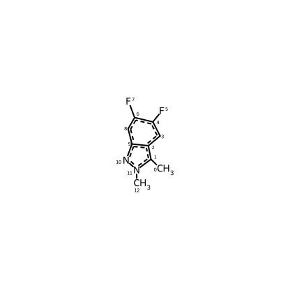 Cc1c2cc(F)c(F)cc2nn1C